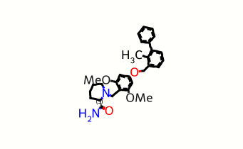 COc1cc(OCc2cccc(-c3ccccc3)c2C)cc(OC)c1CN1CCCC[C@H]1C(N)=O